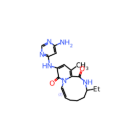 CCC1CCC/C=C\n2c(c(C)cc(Nc3cc(N)ncn3)c2=O)C(=O)N1